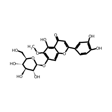 COc1c(O[C@@H]2O[C@H](CO)[C@@H](O)[C@H](O)[C@H]2O)cc2oc(-c3ccc(O)c(O)c3)cc(=O)c2c1O